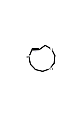 C1=C/NCCCNCCOC/1